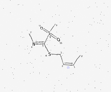 C/C=C\CSC(=NC)S(C)(=O)=O